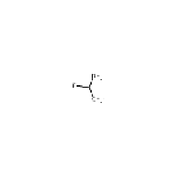 [CH2]C(N)F